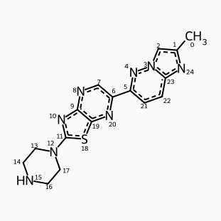 Cc1cn2nc(-c3cnc4nc(N5CCNCC5)sc4n3)ccc2n1